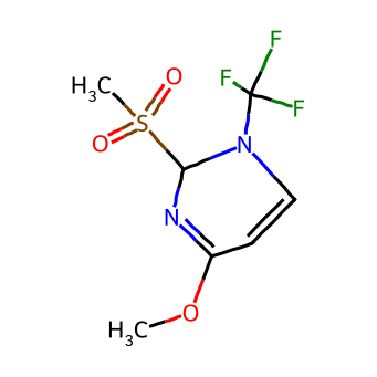 COC1=NC(S(C)(=O)=O)N(C(F)(F)F)C=C1